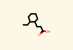 CCC1CCCCC1CCC(=O)O